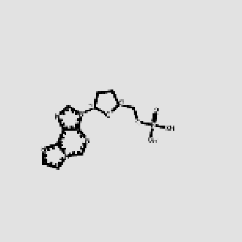 O=P(O)(S)OC[C@@H]1CC[C@H](n2cnc3c2ncn2ccnc32)O1